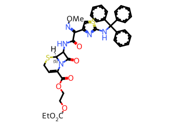 CCOC(=O)OCCOC(=O)C1=CCS[C@H]2C(NC(=O)C(=NOC)c3csc(NC(c4ccccc4)(c4ccccc4)c4ccccc4)n3)C(=O)N12